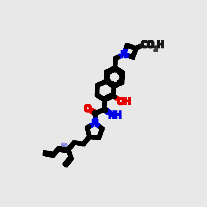 C=C/C=C(\C=C)CCC1CCN(C(=O)C(=N)C2=C(O)c3ccc(CN4CC(C(=O)O)C4)cc3CC2)C1